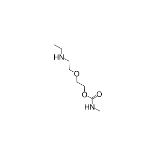 CCNCCOCCOC(=O)NC